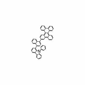 c1ccc(-n2c3ccccc3c3cccc(-c4ccc(-c5ccc6c(c5)c5ccccc5c5c7ccccc7c7ccccc7c65)c5ccccc45)c32)cc1